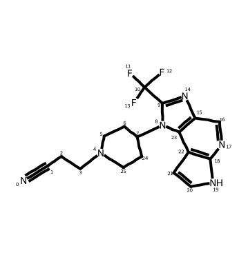 N#CCCN1CCC(n2c(C(F)(F)F)nc3cnc4[nH]ccc4c32)CC1